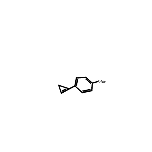 COc1ccc(C2=CC2)cc1